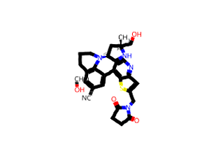 C[C@]1(CO)C[C@H](N2CCCc3cc(C#N)cc(-c4ccnc5cc(CN6C(=O)CCC6=O)sc45)c32)CN1.O=CO